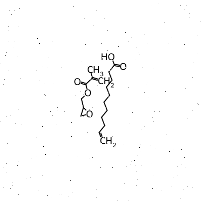 C=C(C)C(=O)OCC1CO1.C=CCCCCCCCCC(=O)O